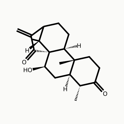 C=C1C(=O)[C@@]23[C@H](O)C[C@@H]4[C@@H](C)C(=O)CC[C@@]4(C)[C@@H]2CCC1[C@H]3C